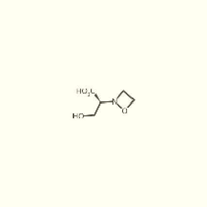 O=C(O)[C@H](CO)N1CCO1